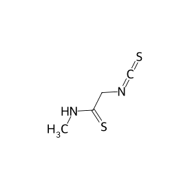 CNC(=S)CN=C=S